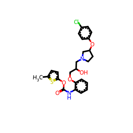 Cc1ccc(OC(=O)Nc2ccccc2OCC(O)CN2CCC(Oc3ccc(Cl)cc3)C2)s1